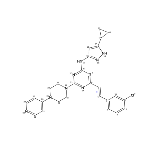 Clc1cccc(/C=C/c2nc(Nc3cc(C4CC4)[nH]n3)nc(N3CCN(c4ccncc4)CC3)n2)c1